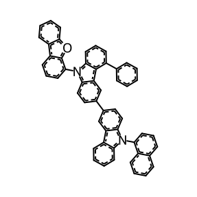 c1ccc(-c2cccc3c2c2cc(-c4ccc5c(c4)c4ccccc4n5-c4cccc5ccccc45)ccc2n3-c2cccc3c2oc2ccccc23)cc1